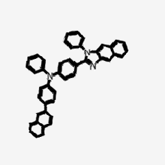 c1ccc(N(c2ccc(-c3ccc4ccccc4c3)cc2)c2ccc(-c3nc4cc5ccccc5cc4n3-c3ccccc3)cc2)cc1